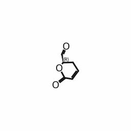 O=C[C@H]1CC=CC(=O)O1